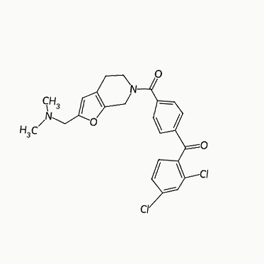 CN(C)Cc1cc2c(o1)CN(C(=O)c1ccc(C(=O)c3ccc(Cl)cc3Cl)cc1)CC2